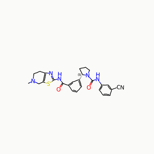 CN1CCc2nc(NC(=O)c3cccc([C@@H]4CCCN4C(=O)Nc4cccc(C#N)c4)c3)sc2C1